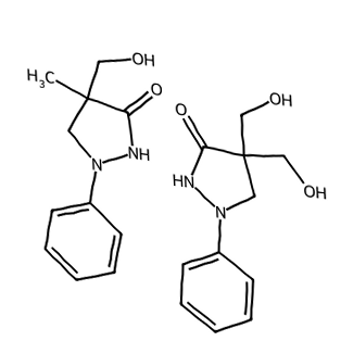 CC1(CO)CN(c2ccccc2)NC1=O.O=C1NN(c2ccccc2)CC1(CO)CO